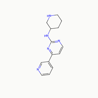 c1cncc(-c2ccnc(NC3CCCNC3)n2)c1